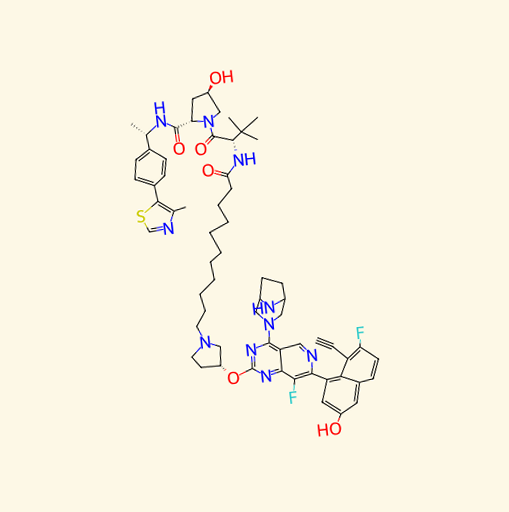 C#Cc1c(F)ccc2cc(O)cc(-c3ncc4c(N5CC6CCC(C5)N6)nc(O[C@@H]5CCN(CCCCCCCCCCC(=O)N[C@H](C(=O)N6C[C@H](O)C[C@H]6C(=O)N[C@@H](C)c6ccc(-c7scnc7C)cc6)C(C)(C)C)C5)nc4c3F)c12